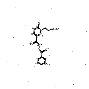 CC(=O)NCCn1nc(C(=N)NOC(=O)c2cncc(Cl)c2)ccc1=O